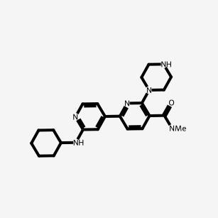 CNC(=O)c1ccc(-c2ccnc(NC3CCCCC3)c2)nc1N1CCNCC1